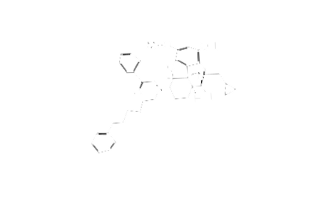 COc1cc(O)c2c3c1O[C@H]1[C@@H](N(CCCCCCc4ccccc4)CC(=O)c4ccccc4)CC[C@H]4[C@@H](C2)N(CC2CC2)CC[C@@]341